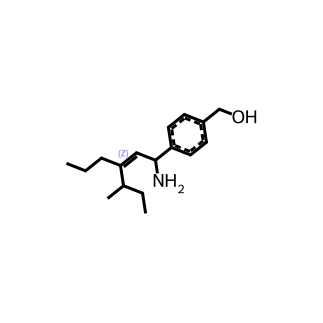 CCC/C(=C/C(N)c1ccc(CO)cc1)C(C)CC